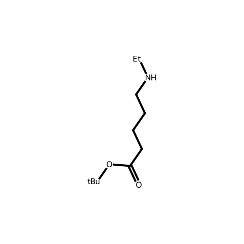 CCNCCCCC(=O)OC(C)(C)C